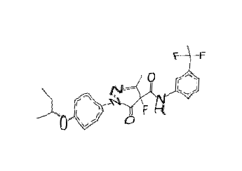 CCC(C)Oc1ccc(N2N=C(C)C(F)(C(=O)Nc3cccc(C(C)(F)F)c3)C2=O)cc1